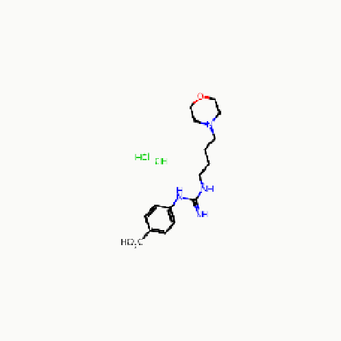 Cl.Cl.N=C(NCCCCN1CCOCC1)Nc1ccc(C(=O)O)cc1